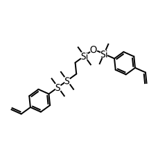 C=Cc1ccc([Si](C)(C)O[Si](C)(C)CCS(C)(C)S(C)(C)c2ccc(C=C)cc2)cc1